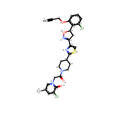 C#CCOc1cccc(Cl)c1C1CC(c2csc(C3CCN(C(=O)Cn4cc(C(F)(F)F)cc(Cl)c4=O)CC3)n2)=NO1